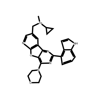 C[As](Cc1cnc2oc3c(N4CCOCC4)nc(-c4cccc5[nH]ccc45)nc3c2c1)C1CC1